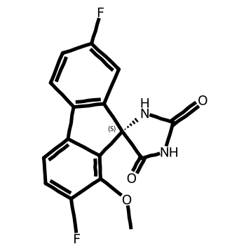 COc1c(F)ccc2c1[C@@]1(NC(=O)NC1=O)c1cc(F)ccc1-2